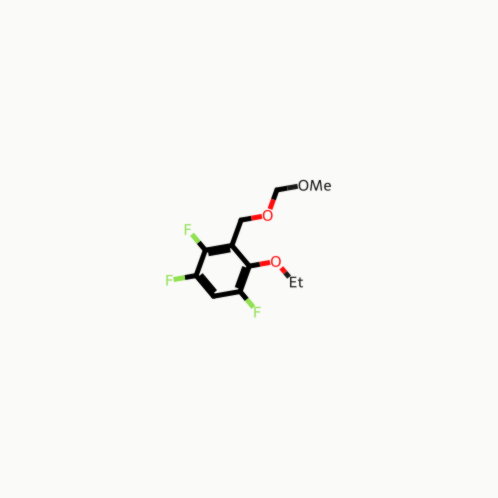 CCOc1c(F)cc(F)c(F)c1COCOC